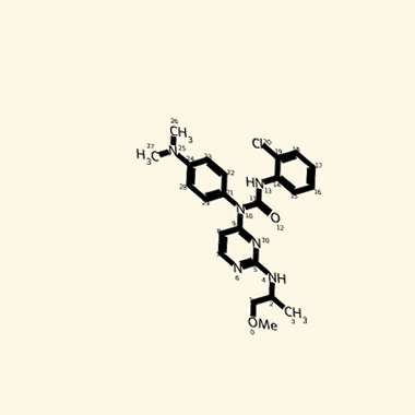 COCC(C)Nc1nccc(N(C(=O)Nc2ccccc2Cl)c2ccc(N(C)C)cc2)n1